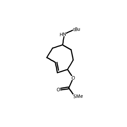 CSC(=O)OC1/C=C/CCC(NC(C)(C)C)CC1